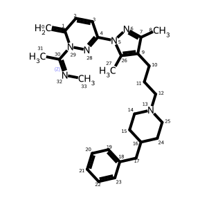 C=C1C=CC(n2nc(C)c(CCCN3CCC(Cc4ccccc4)CC3)c2C)=NN1/C(C)=N\C